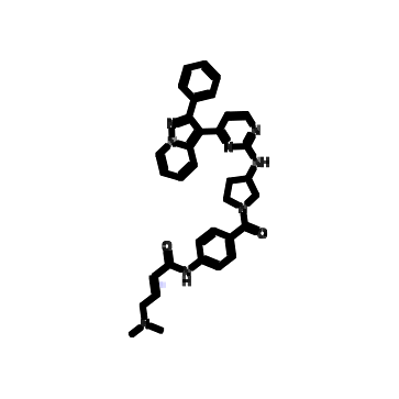 CN(C)C/C=C/C(=O)Nc1ccc(C(=O)N2CCC(Nc3nccc(-c4c(-c5ccccc5)nn5ccccc45)n3)C2)cc1